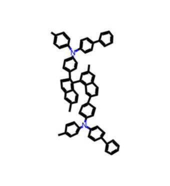 Cc1ccc(N(c2ccc(-c3ccccc3)cc2)c2ccc(-c3ccc4cc(C)cc(-c5c(-c6ccc(N(c7ccc(C)cc7)c7ccc(-c8ccccc8)cc7)cc6)ccc6cc(C)ccc56)c4c3)cc2)cc1